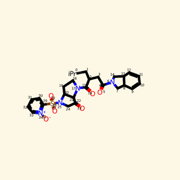 CC(C)CC(CC(=O)N1CC2C=CC=CC2C1)C(=O)N1CCC2C1C(=O)CN2S(=O)(=O)c1cccc[n+]1[O-]